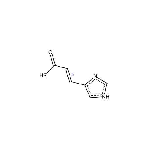 O=C(S)/C=C/c1c[nH]cn1